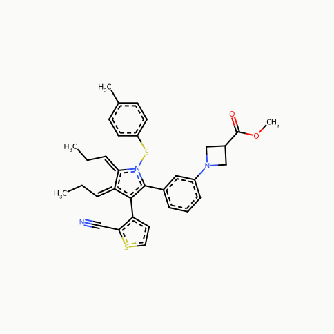 CC/C=c1/c(-c2ccsc2C#N)c(-c2cccc(N3CC(C(=O)OC)C3)c2)n(Sc2ccc(C)cc2)/c1=C/CC